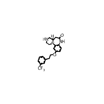 O=C1C[C@H]2CNCCN2c2cc(OCCc3cccc(C(F)(F)F)c3)ccc2N1